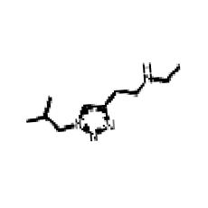 CCNCCc1cn(CC(C)C)nn1